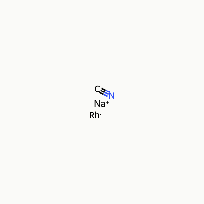 [C-]#N.[Na+].[Rh]